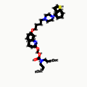 CCCCCCCCCCCCN(CCCCCCCCCCCC)C(=O)OCOc1ccc2ccc(OCCCCN3CCN(c4cccc5sccc45)CC3)cc2n1